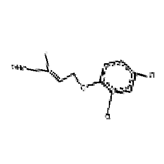 CC(C=O)=CCOc1ccc(Cl)cc1Cl